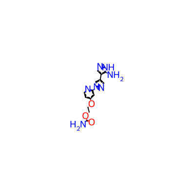 NC(=O)OCCOc1ccnc(-n2cc(-c3cn[nH]c3N)cn2)c1